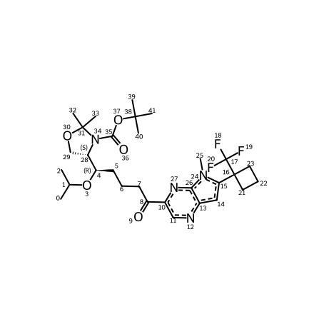 CC(C)O[C@H](CCCC(=O)c1cnc2cc(C3(C(F)(F)F)CCC3)n(C)c2n1)[C@@H]1COC(C)(C)N1C(=O)OC(C)(C)C